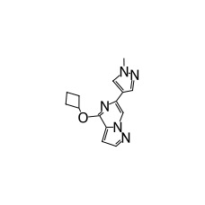 Cn1cc(-c2cn3nccc3c(OC3CCC3)n2)cn1